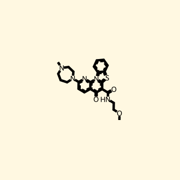 COCCNC(=O)c1c(=O)c2ccc(N3CCCN(C)CC3)nc2n2c1sc1ccccc12